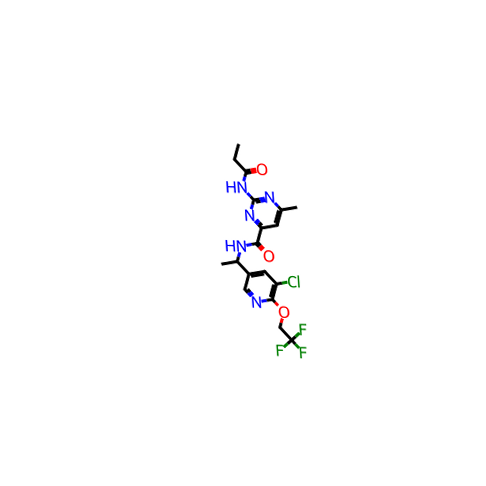 CCC(=O)Nc1nc(C)cc(C(=O)NC(C)c2cnc(OCC(F)(F)F)c(Cl)c2)n1